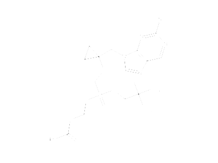 CC(C)C(=O)OCOP(=O)(COC1(Cn2cnc3cnc(N)nc32)CC1)OCC(C)(C)C(=O)O